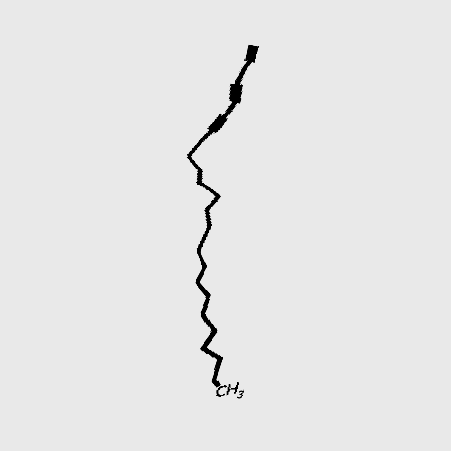 [C]#CC#CC#CCCCCCCCCCCCCCCCC